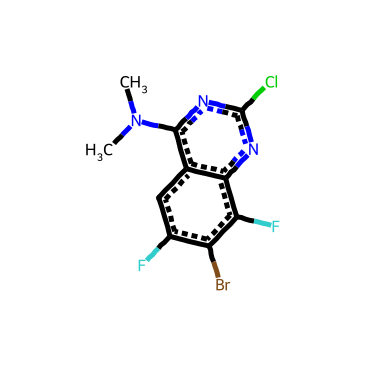 CN(C)c1nc(Cl)nc2c(F)c(Br)c(F)cc12